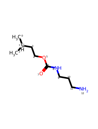 C[SiH](C)CCOC(=O)NCCCN